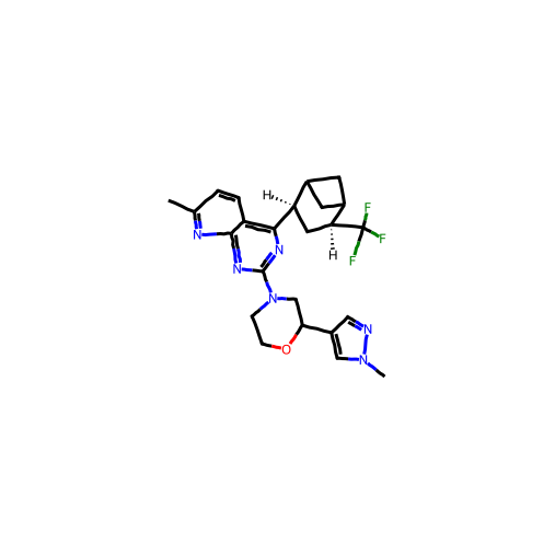 Cc1ccc2c([C@@H]3C[C@H](C(F)(F)F)C4CC3C4)nc(N3CCOC(c4cnn(C)c4)C3)nc2n1